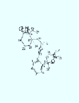 C[C@H](C#Cc1ccccc1C(C)(C)O[Si](C)(C)C)[C@H]1CC[C@H]2C(=O)CCC[C@]12C